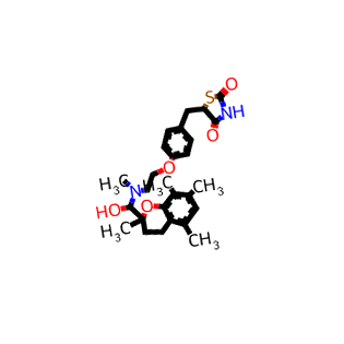 Cc1cc(C)c2c(c1C)OC(C)(C(O)N(C)CCOc1ccc(CC3SC(=O)NC3=O)cc1)CC2